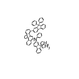 CC1(C)c2ccccc2-c2ccc(N(c3ccccc3)c3cc4c(oc5cccc(-c6ccc7c(c6)C(c6ccccc6)(c6ccccc6)c6ccccc6-7)c54)c4ccccc34)cc21